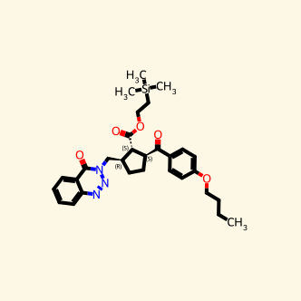 CCCCOc1ccc(C(=O)[C@H]2CC[C@@H](Cn3nnc4ccccc4c3=O)[C@@H]2C(=O)OCC[Si](C)(C)C)cc1